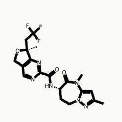 Cc1cc2n(n1)CC[C@H](NC(=O)c1ncc3c(n1)[C@](C)(CC(F)(F)F)OC3)C(=O)N2C